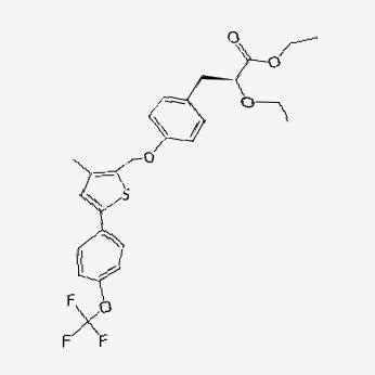 CCOC(=O)[C@H](Cc1ccc(OCc2sc(-c3ccc(OC(F)(F)F)cc3)cc2C)cc1)OCC